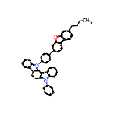 CCCCc1ccc2c(c1)oc1cc(-c3ccc(-n4c5ccccc5c5ccc6c(c7ccccc7n6-c6ccccc6)c54)cc3)ccc12